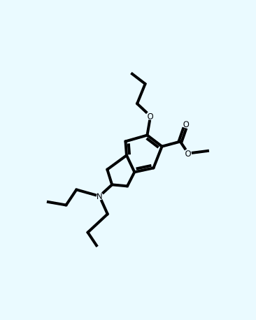 CCCOc1cc2c(cc1C(=O)OC)CC(N(CCC)CCC)C2